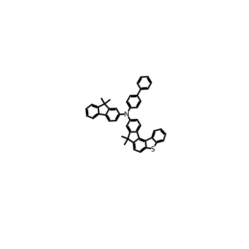 CC1(C)c2ccccc2-c2ccc(N(c3ccc(-c4ccccc4)cc3)c3ccc4c(c3)C(C)(C)c3ccc5sc6ccccc6c5c3-4)cc21